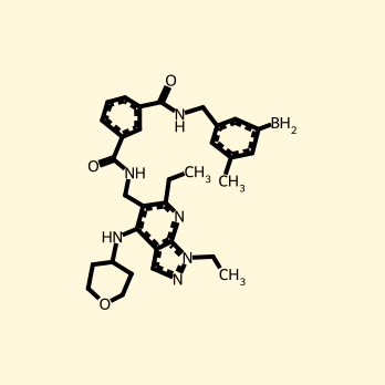 Bc1cc(C)cc(CNC(=O)c2cccc(C(=O)NCc3c(CC)nc4c(cnn4CC)c3NC3CCOCC3)c2)c1